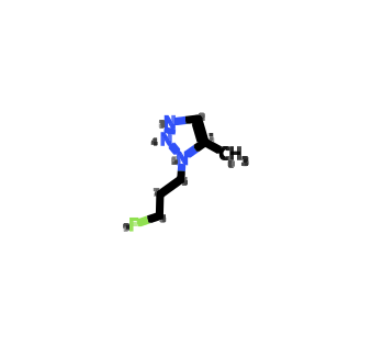 Cc1cnnn1CCCF